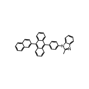 Cc1nc2ccccc2n1-c1ccc(-c2c3ccccc3c(-c3ccc4ccccc4c3)c3ccccc23)cc1